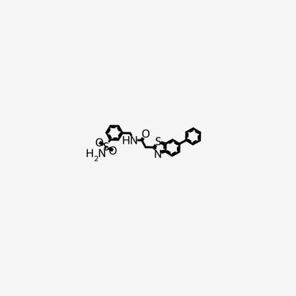 NS(=O)(=O)c1cccc(CNC(=O)Cc2nc3ccc(-c4ccccc4)cc3s2)c1